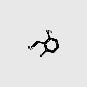 C=Cc1c(C)ccc[n+]1[O-]